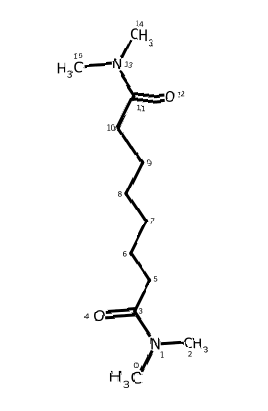 CN(C)C(=O)CCCCCCC(=O)N(C)C